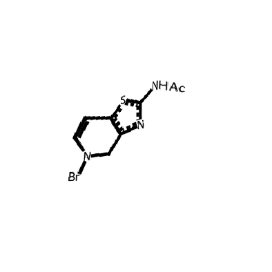 CC(=O)Nc1nc2c(s1)C=CN(Br)C2